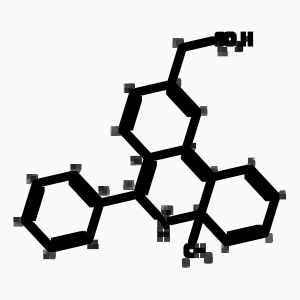 CC12C=CC=CC1=c1cc(CS(=O)(=O)O)ccc1=C(c1ccccc1)N2